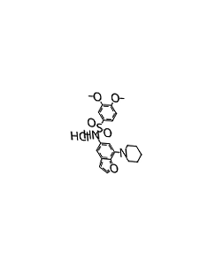 COc1ccc(S(=O)(=O)Nc2cc(N3CCCCC3)c3occc3c2)cc1OC.Cl